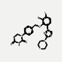 O=C1CCN(c2ccc(COc3c(-c4csc(N5CCOCC5)n4)ccc(F)c3F)cc2)C(=O)N1